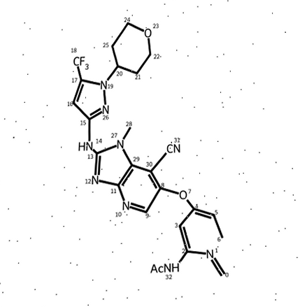 C=N/C(=C\C(=C/C)Oc1cnc2nc(Nc3cc(C(F)(F)F)n(C4CCOCC4)n3)n(C)c2c1C#N)NC(C)=O